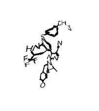 Cc1ccc(Sn2cc(-c3nc(NCC4CCC(=O)CC4)ncc3C#N)c3c2NCC(C(F)(F)F)=C3)cc1